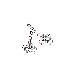 FC(F)(F)c1c(C(F)(F)F)c(C(F)(F)F)c2oc(-c3ccc(-c4ccc(-c5ccc(-c6ccccn6)nc5-c5ccc(-c6ccc(-c7nc8c(C(F)(F)F)c(C(F)(F)F)c(C(F)(F)F)c(C(F)(F)F)c8o7)cc6)cc5)cc4)cc3)nc2c1C(F)(F)F